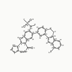 CNC(=O)c1c(-c2cccs2)oc2cc(N(C)S(C)(=O)=O)c(-c3ccc4c(n3)-c3cc5c(F)cccc5n3CC4)cc12